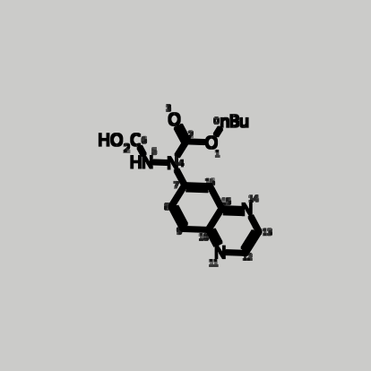 CCCCOC(=O)N(NC(=O)O)c1ccc2nccnc2c1